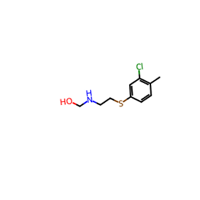 Cc1ccc(SCCNCO)cc1Cl